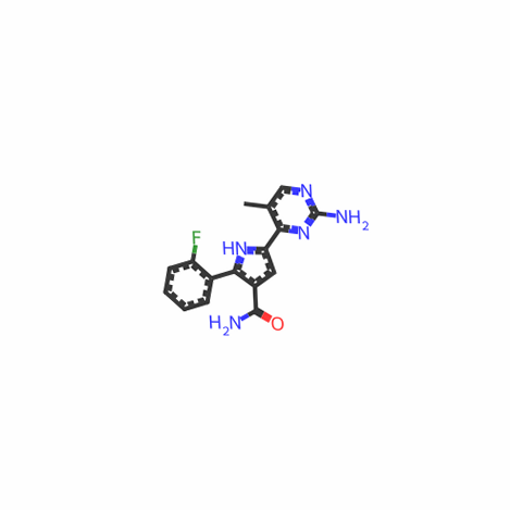 Cc1cnc(N)nc1-c1cc(C(N)=O)c(-c2ccccc2F)[nH]1